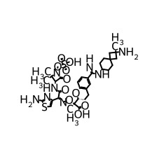 CC1(N)CC2(CCC(NC(=N)c3ccc4c(c3)CC[C@H]([C@](C)(O/N=C(\C(=O)N[C@@H]3C(=O)N(OS(=O)(=O)O)C3(C)C)c3csc(N)n3)C(=O)O)O4)CC2)C1